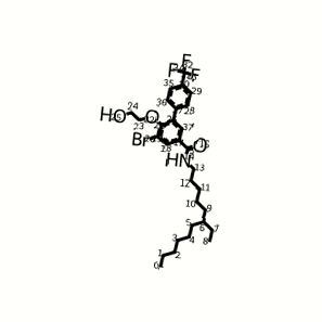 CCCCCCC(CC)CCCCCNC(=O)c1cc(Br)c(OCCO)c(-c2ccc(C(F)(F)F)cc2)c1